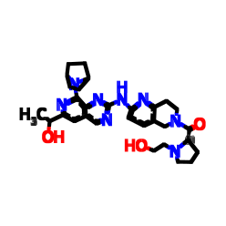 CC(O)c1cc2cnc(Nc3ccc4c(n3)CCN(C(=O)[C@H]3CCCN3CCO)C4)nc2c(N2C3CCC2CC3)n1